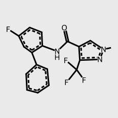 Cn1cc(C(=O)Nc2ccc(F)cc2-c2ccccc2)c(C(F)(F)F)n1